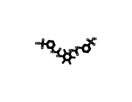 Cc1c(C)c(NC(=O)Nc2cccc(S(=O)(=O)O)c2)c(C)c(NC(=O)Nc2cccc(S(=O)(=O)O)c2)c1C